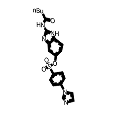 CCCCC(=O)Nc1nc2cc(OS(=O)(=O)c3ccc(-n4ccnc4)cc3)ccc2[nH]1